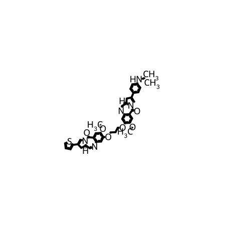 COc1cc2c(cc1OCCCOc1cc3c(cc1OC)C(=O)N1C=C(c4cccs4)C[C@H]1C=N3)N=C[C@@H]1CC(c3ccc(NC(C)C)cc3)=CN1C2=O